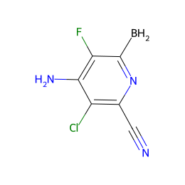 Bc1nc(C#N)c(Cl)c(N)c1F